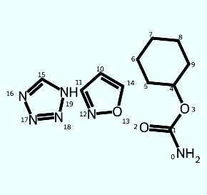 NC(=O)OC1CCCCC1.c1cnoc1.c1nnn[nH]1